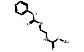 CC(C)(C)OC(=O)NCCNC(=O)Nc1ccccc1